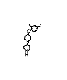 Cc1cc(Cl)ccc1OC1CCN(C2CCNCC2)CC1